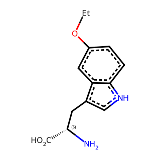 CCOc1ccc2[nH]cc(C[C@H](N)C(=O)O)c2c1